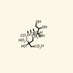 CC(=O)O.CC(=O)O.CC(=O)O.O=C(O)CC(O)(CC(=O)O)C(=O)O.OCC(O)CO